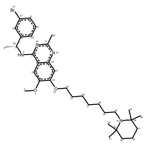 COc1cc2c(N[C@H](C)c3cccc(Br)c3)nc(C)nc2cc1OCCCCCCCN1C(C)(C)CCCC1(C)C